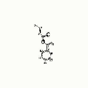 C=C(OC(=O)/C=C/C)c1ccccc1